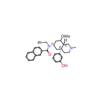 COC1C[C@@H](N(CC(C)C)C(=O)c2ccc3ccccc3c2)C[C@]2(c3cccc(O)c3)CCN(C)C[C@@H]12